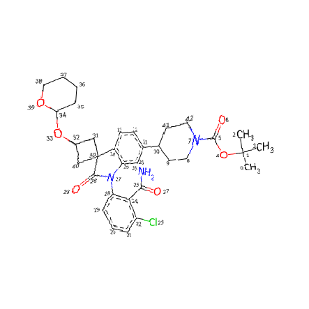 CC(C)(C)OC(=O)N1CCC(c2ccc3c(c2)N(c2cccc(Cl)c2C(N)=O)C(=O)C32CC(OC3CCCCO3)C2)CC1